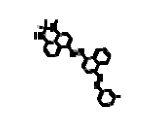 Cc1cccc(N=Nc2ccc(N=Nc3ccc4c5c(cccc35)NC(C)(C)N4C)c3ccccc23)c1